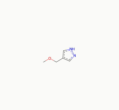 COCc1cn[nH]c1